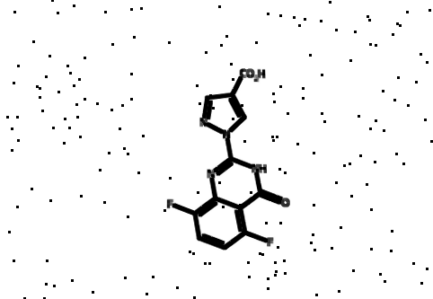 O=C(O)c1cnn(-c2nc3c(F)ccc(F)c3c(=O)[nH]2)c1